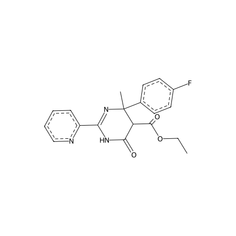 CCOC(=O)C1C(=O)NC(c2ccccn2)=NC1(C)c1ccc(F)cc1